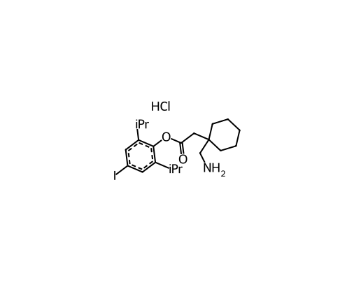 CC(C)c1cc(I)cc(C(C)C)c1OC(=O)CC1(CN)CCCCC1.Cl